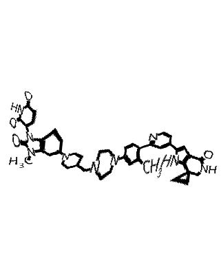 Cc1cc(N2CCN(CC3CCN(c4ccc5c(c4)n(C)c(=O)n5C4CCC(=O)NC4=O)CC3)CC2)ccc1-c1cc(-c2cc3c([nH]2)C2(CC2)CNC3=O)ccn1